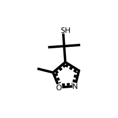 Cc1oncc1C(C)(C)S